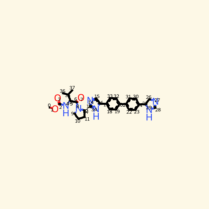 COC(=O)N[C@H](C(=O)N1CCC[C@H]1c1ncc(-c2ccc(-c3ccc(C4CN=CN4)cc3)cc2)[nH]1)C(C)C